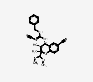 COC(OC)[C@@]1(C)Oc2ccc(C#N)cc2[C@@H](NC(=NC#N)NCc2ccccc2)[C@@H]1O